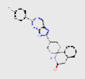 O=C1Cc2ccccc2C2(CCC(c3nc4cnc(-c5ccc(F)cc5)nc4[nH]3)CC2)N1